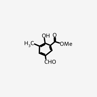 COC(=O)c1cc(C=O)cc(C)c1O